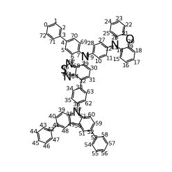 c1ccc(-c2ccc(N(c3ccc(N4c5ccccc5Oc5ccccc54)cc3)c3ccc(-c4ccc(-n5c6ccc(-c7ccccc7)cc6c6cc(-c7ccccc7)ccc65)cc4)c4nsnc34)cc2)cc1